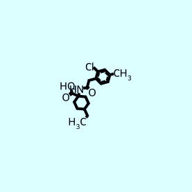 CCC1CCC(NC(=O)Cc2ccc(C)cc2Cl)(C(=O)O)CC1